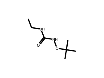 CCBC(=O)NOC(C)(C)C